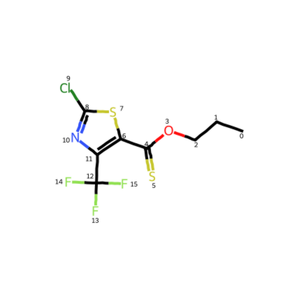 CCCOC(=S)c1sc(Cl)nc1C(F)(F)F